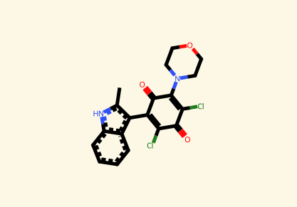 Cc1[nH]c2ccccc2c1C1=C(Cl)C(=O)C(Cl)=C(N2CCOCC2)C1=O